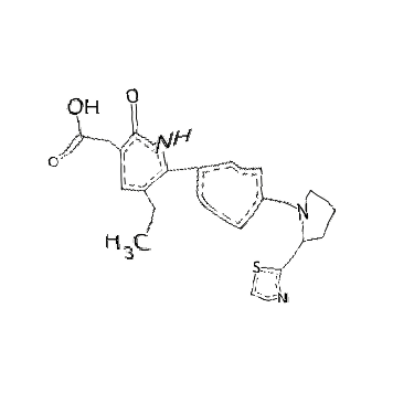 CCc1cc(C(=O)O)c(=O)[nH]c1-c1ccc(N2CCCC2c2nccs2)cc1